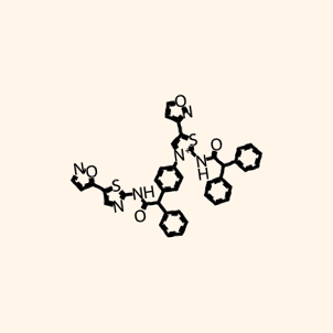 O=C(Nc1ncc(-c2ccno2)s1)C(c1ccccc1)c1ccc(-[n+]2cc(-c3ccon3)sc2NC(=O)C(c2ccccc2)c2ccccc2)cc1